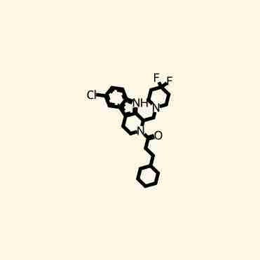 O=C(CCC1CCCCC1)N1CCc2c([nH]c3ccc(Cl)cc23)C1CN1CCC(F)(F)CC1